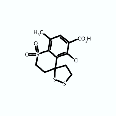 Cc1cc(C(=O)O)c(Cl)c2c1S(=O)(=O)CCC21CCSS1